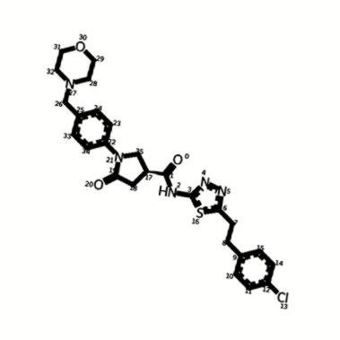 O=C(Nc1nnc(CCc2ccc(Cl)cc2)s1)[C@H]1CC(=O)N(c2ccc(CN3CCOCC3)cc2)C1